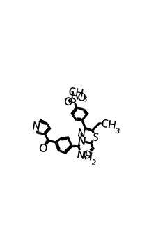 CCC1SC(C=O)N(C(N)c2ccc(C(=O)c3cccnc3)cc2)N=C1c1ccc(S(C)(=O)=O)cc1